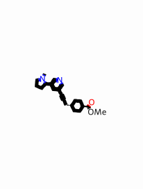 COC(=O)[C@H]1CC[C@H](CC#Cc2cncc(C3CCCN3C)c2)CC1